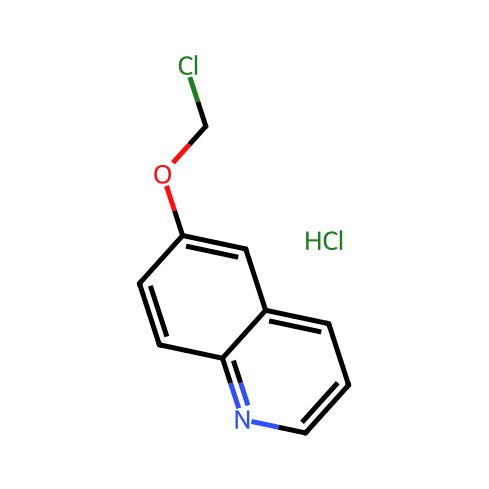 Cl.ClCOc1ccc2ncccc2c1